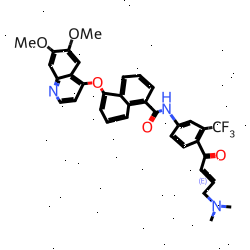 COc1cc2nccc(Oc3cccc4c(C(=O)Nc5ccc(C(=O)/C=C/CN(C)C)c(C(F)(F)F)c5)cccc34)c2cc1OC